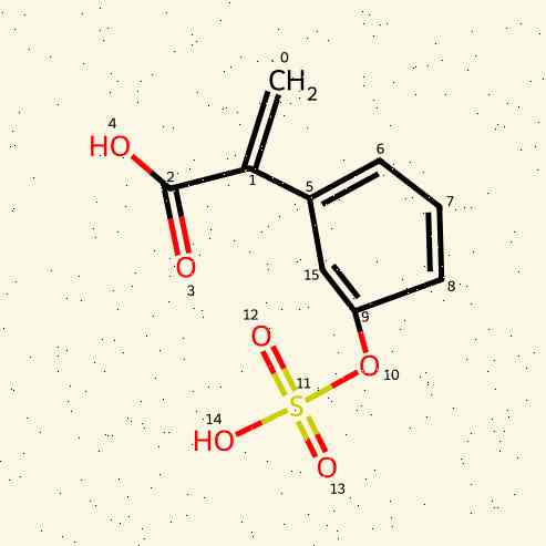 C=C(C(=O)O)c1cccc(OS(=O)(=O)O)c1